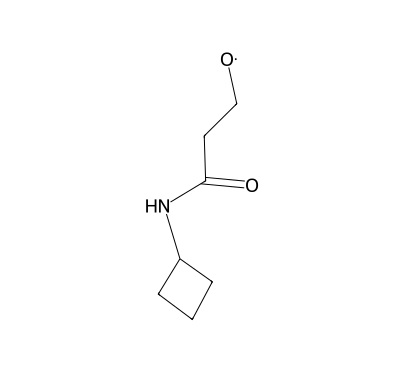 [O]CCC(=O)NC1CCC1